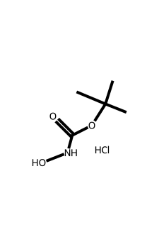 CC(C)(C)OC(=O)NO.Cl